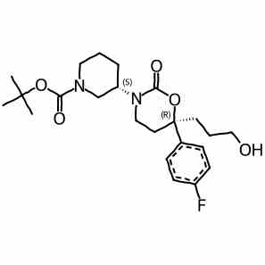 CC(C)(C)OC(=O)N1CCC[C@H](N2CC[C@](CCCO)(c3ccc(F)cc3)OC2=O)C1